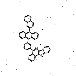 c1cc(-c2c3ccccc3c(-c3ccc4ccccc4c3)c3ccccc23)cc(-c2nc3c(nc4ccccn43)c3ccccc23)c1